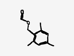 Cc1cc(C)c(COC=O)c(C)c1